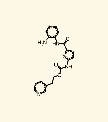 Nc1ccccc1NC(=O)c1ccc(NC(=O)OCCc2cccnc2)s1